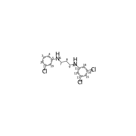 Clc1cccc(NCCCNc2cc(Cl)cc(Cl)c2)c1